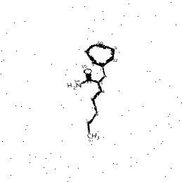 CCCCCC(Cc1ccccc1)C(N)=O